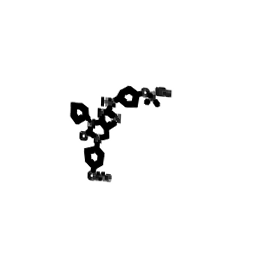 COc1ccc(N2Cc3cnc(Nc4ccc(O[Si](C)(C)C(C)(C)C)cc4)nc3N(c3ccccc3)C2=O)cc1